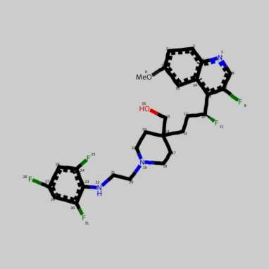 COc1ccc2ncc(F)c([C@@H](F)CCC3(CO)CCN(CCNc4c(F)cc(F)cc4F)CC3)c2c1